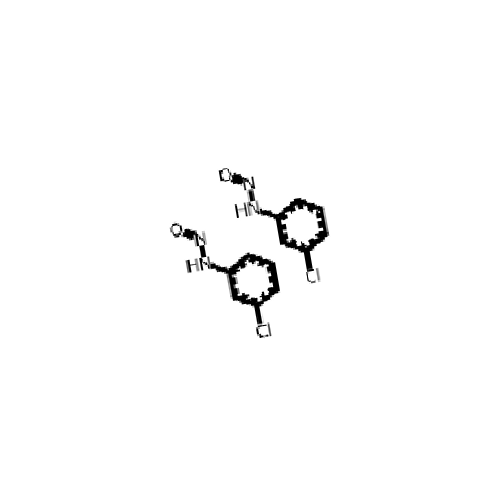 O=NNc1cccc(Cl)c1.O=NNc1cccc(Cl)c1